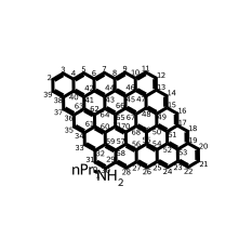 CCCN.c1cc2cc3cc4cc5ccc6cc7cc8cc9cccc%10cc%11cc%12cc%13ccc%14cc%15cc%16cc(c1)c2c1c3c2c4c3c5c6c4c7c5c8c(c9%10)c%11c6c%12c7c%13c%14c8c%15c(c%161)c2c1c3c4c(c56)c7c81